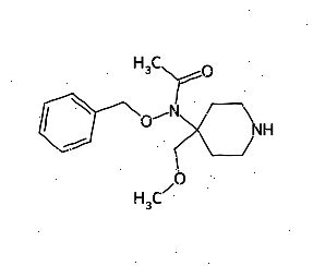 COCC1(N(OCc2ccccc2)C(C)=O)CCNCC1